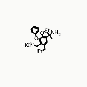 CCOc1c(C(C)(C)N)cc(CC(C)C)c(CC(C)C)c1Oc1ccccc1.Cl